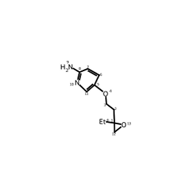 CCC1(CCOc2ccc(N)nc2)CO1